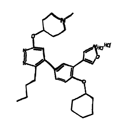 CCCCc1nnc(OC2CCN(C)CC2)cc1-c1ccc(OC2CCCCC2)c(-c2cnoc2)c1.Cl.Cl